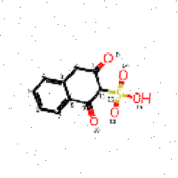 O=C1Cc2ccccc2C(=O)C1S(=O)(=O)O